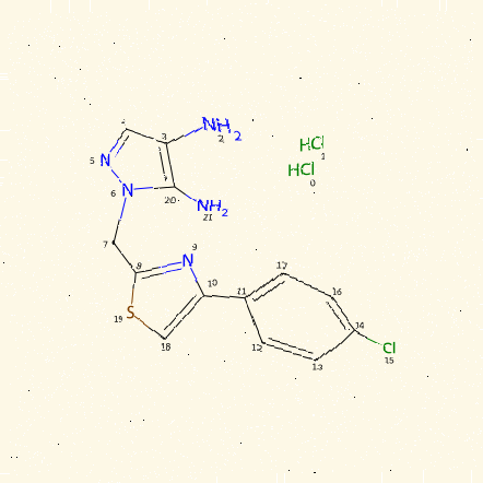 Cl.Cl.Nc1cnn(Cc2nc(-c3ccc(Cl)cc3)cs2)c1N